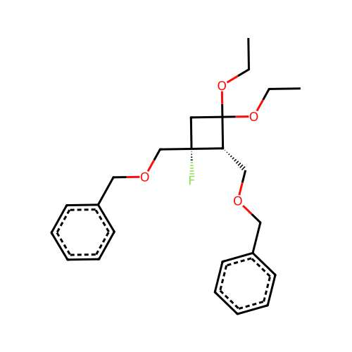 CCOC1(OCC)C[C@](F)(COCc2ccccc2)[C@H]1COCc1ccccc1